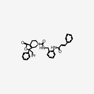 CC(C)CC1(c2ccccc2)OC(=O)C2=C1CN(C(=O)NCc1ccccc1NC(=O)C=Cc1ccccc1)CC2